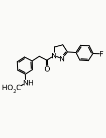 O=C(O)Nc1cccc(CC(=O)N2CCC(c3ccc(F)cc3)=N2)c1